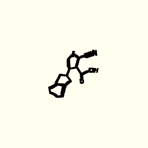 N#Cc1scc(C2Cc3ccccc3C2)c1C(=O)O